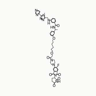 CC(NC(=O)c1cccc(NCc2nnc(-c3ccncn3)n2C)c1)c1cccc(OCCCCCCOCC(=O)N2CCN(c3cc4c(cc3F)C(=O)N(C3CCC(=O)NC3=O)C4=O)CC2)c1